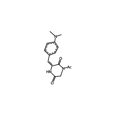 CC(=O)N1CC(=O)NC(=Cc2ccc(N(C)C)cc2)C1=O